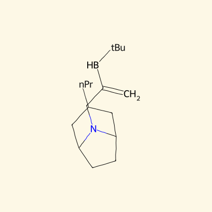 C=C(BC(C)(C)C)CN1C2CCC1CC(CCC)C2